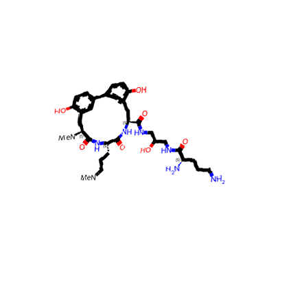 CNCCC[C@@H]1NC(=O)[C@@H](NC)Cc2cc(ccc2O)-c2ccc(O)c(c2)C[C@@H](C(=O)NCC(O)CNC(=O)[C@@H](N)CCCN)NC1=O